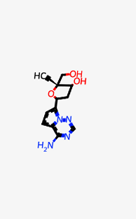 C#C[C@]1(CO)OC(c2ccc3c(N)ncnn23)C[C@@H]1O